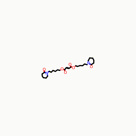 O=C(C=CC(=O)OCCCCCCN1CCCCCC1=O)OCCCCCCN1CCCCCC1=O